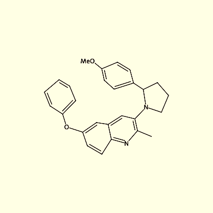 COc1ccc(C2CCCN2c2cc3cc(Oc4ccccc4)ccc3nc2C)cc1